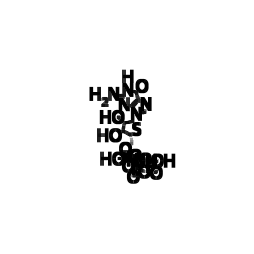 Nc1nc2c(ncn2[C@@H]2S[C@H](COP(=O)(O)OP(=O)(O)OP(=O)(O)O)[C@@H](O)[C@H]2O)c(=O)[nH]1